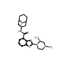 C[C@H]1CN(C)CCN1c1nc2c(C(=O)NC3CC4CCCC(C3)N4C)cccc2o1